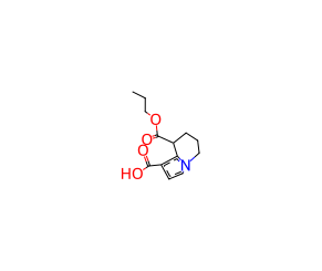 CCCOC(=O)C1CCCn2ccc(C(=O)O)c21